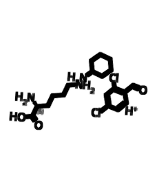 NC1CCCCC1.NCCCC[C@H](N)C(=O)O.O=Cc1ccc(Cl)cc1Cl.[H+]